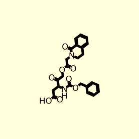 O=C(O)CC(NC(=O)OCc1ccccc1)C(=O)COC(=O)CN1CCc2ccccc2C1=O